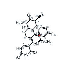 Cc1nc(-c2c[nH]c(=O)[nH]c2=O)c2c(n1)[C@]1(c3ccc(F)cc3)CC(C#N)C(=O)[C@@H](C)[C@@H]1CC2